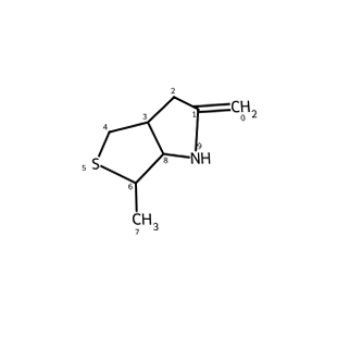 C=C1CC2CSC(C)C2N1